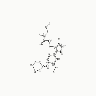 CCCN(C)C(=O)OCc1c(-c2ccc(OC3CCCCC3)c(CC)n2)nnn1C